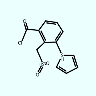 O=C(Cl)c1cccc([SH]2C=CC=C2)c1C[SH](=O)=O